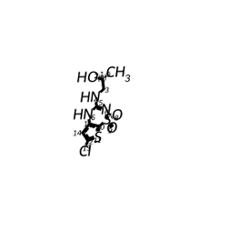 C[C@@H](O)CNC1=NS(=O)(=O)c2sc(Cl)cc2N1